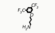 NCCCCOc1cc(C(F)(F)F)cc(C(F)(F)F)c1